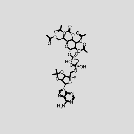 CC(=O)OC[C@@H](OC(C)=O)C1O[C@@H](OP(=O)(O)OP(=O)(O)OC[C@@]2(F)O[C@@H](n3cnc4c(N)ncnc43)C3OC(C)(C)OC32)C(OC(C)=O)C(OC(C)=O)[C@@H]1OC(C)=O